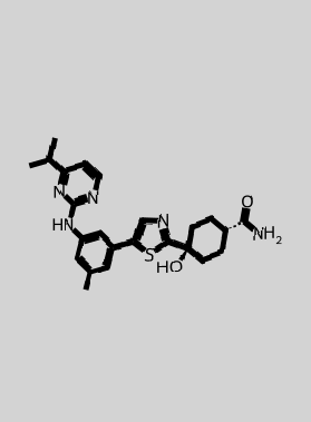 Cc1cc(Nc2nccc(C(C)C)n2)cc(-c2cnc([C@]3(O)CC[C@H](C(N)=O)CC3)s2)c1